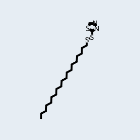 CCCCCCCCCCCCCCCCCCCSSc1nncs1